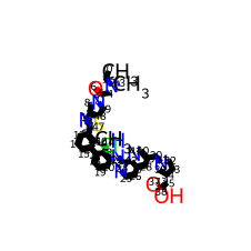 CCN(C)CC(=O)N1Cc2nc(-c3cccc(-c4cccc(Nc5nccc6cc(CN7CC[C@H](CC(=O)O)C7)cnc56)c4Cl)c3C)sc2C1